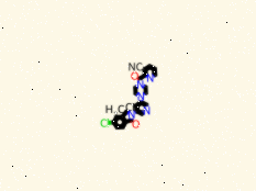 CC1(C)c2cc(Cl)ccc2C(=O)N1c1cncc(N2CCN(C(=O)c3ncccc3C#N)CC2)c1